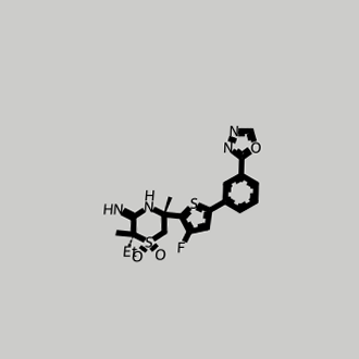 CC[C@]1(C)C(=N)N[C@](C)(c2sc(-c3cccc(-c4nnco4)c3)cc2F)CS1(=O)=O